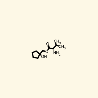 CC(C)[C@H](N)C(=O)OCC1(O)CCCC1